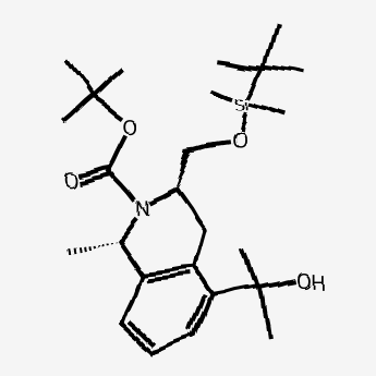 C[C@H]1c2cccc(C(C)(C)O)c2C[C@H](CO[Si](C)(C)C(C)(C)C)N1C(=O)OC(C)(C)C